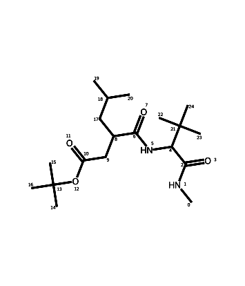 CNC(=O)C(NC(=O)C(CC(=O)OC(C)(C)C)CC(C)C)C(C)(C)C